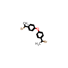 CC(Br)c1ccc(Oc2ccc(C(C)Br)cc2)cc1